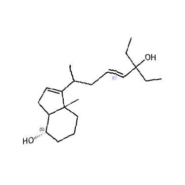 CCC(O)(/C=C/CC(C)C1=CCC2[C@@H](O)CCCC12C)CC